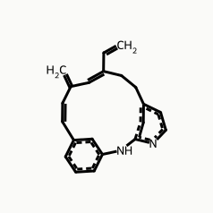 C=C/C1=C\C(=C)/C=C\c2cccc(c2)Nc2cc(ccn2)CC1